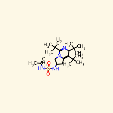 CC(C)NS(=O)(=O)NC1CC2=C(C(C)(C)C)C(C(C)(C)C)N=C(C(C)(C)C)N2C1